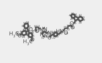 COc1ccc(C(OC[C@@H]2CC[C@H](n3cnc4c(NC(=O)c5ccc(CNC(=O)CCCC(=O)OCC6c7ccccc7-c7ccccc76)cc5)ncnc43)O2)(c2ccccc2)c2ccc(OC)cc2)cc1